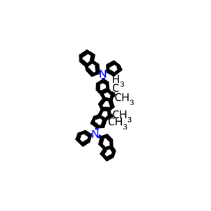 CC1(C)c2cc(N(c3ccccc3)c3ccc4ccccc4c3)ccc2-c2cc3c(cc21)C(C)(C)c1cc(N(c2ccccc2)c2ccc4ccccc4c2)ccc1-3